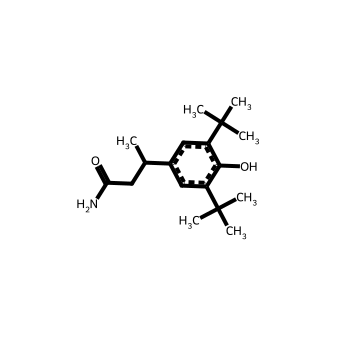 CC(CC(N)=O)c1cc(C(C)(C)C)c(O)c(C(C)(C)C)c1